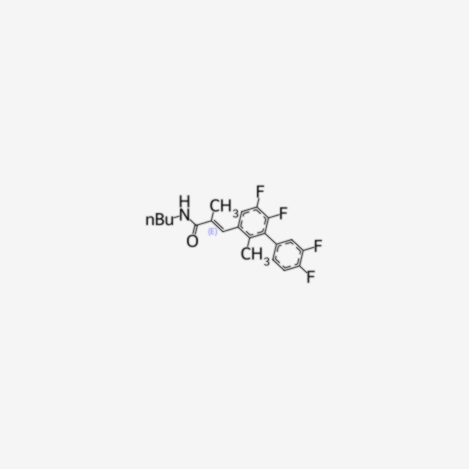 CCCCNC(=O)/C(C)=C/c1cc(F)c(F)c(-c2ccc(F)c(F)c2)c1C